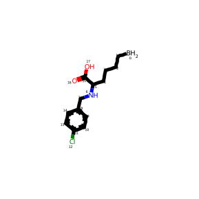 BCCCCC(NCc1ccc(Cl)cc1)C(=O)O